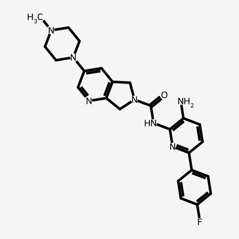 CN1CCN(c2cnc3c(c2)CN(C(=O)Nc2nc(-c4ccc(F)cc4)ccc2N)C3)CC1